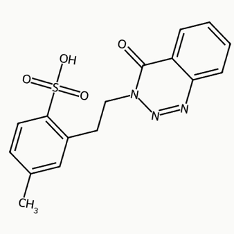 Cc1ccc(S(=O)(=O)O)c(CCn2nnc3ccccc3c2=O)c1